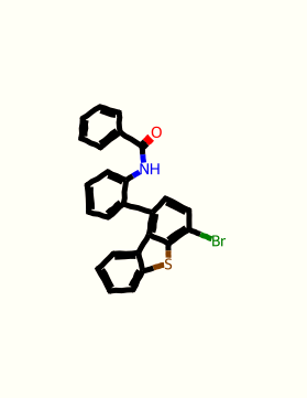 O=C(Nc1ccccc1-c1ccc(Br)c2sc3ccccc3c12)c1ccccc1